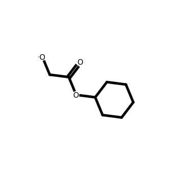 [O]CC(=O)OC1CCCCC1